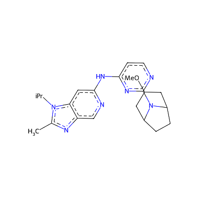 COC1CC2CCC(C1)N2c1nccc(Nc2cc3c(cn2)nc(C)n3C(C)C)n1